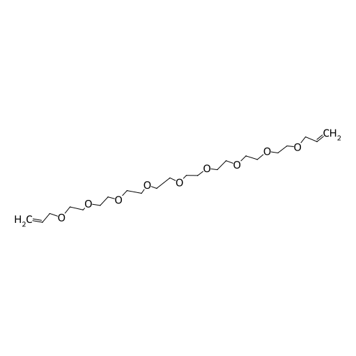 C=CCOCCOCCOCCOCCOCCOCCOCCOCCOCC=C